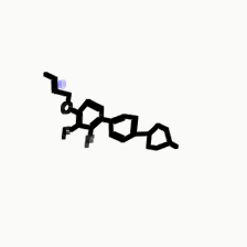 C/C=C/COc1ccc(-c2ccc(C3CCC(C)CC3)cc2)c(F)c1F